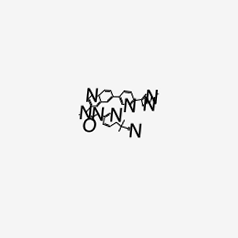 Cn1cc(-c2ccc(-c3ccc4ncc5c(c4c3)n(-c3ccc(C(C)(C)C#N)nc3)c(=O)n5C)cn2)cn1